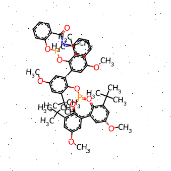 COc1cc(-c2cc(OC)cc(C(C)(C)C)c2Op2oc3c(C(C)(C)C)cc(OC)cc3c3cc(OC)cc(C(C)(C)C)c3o2)c(OP2Oc3ccccc3C(=O)N2c2ccccc2)c(C(C)(C)C)c1